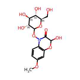 COc1ccc2c(c1)OC(O)C(=O)N2OC1O[C@H](CO)[C@@H](O)[C@H](O)[C@H]1O